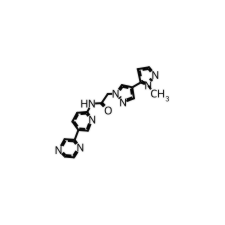 Cn1nccc1-c1cnn(CC(=O)Nc2ccc(-c3cnccn3)cn2)c1